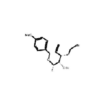 C=C[C@H](CCC(C)C)[C@H](OCC(C)C)[C@H](C)OCc1ccc(OC)cc1